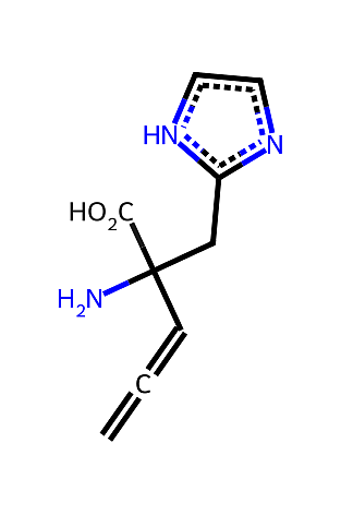 C=C=CC(N)(Cc1ncc[nH]1)C(=O)O